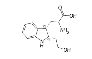 NC(C[C@H]1c2ccccc2N[C@H]1CCO)C(=O)O